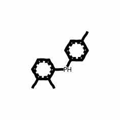 Cc1ccc(Pc2cccc(C)c2C)cc1